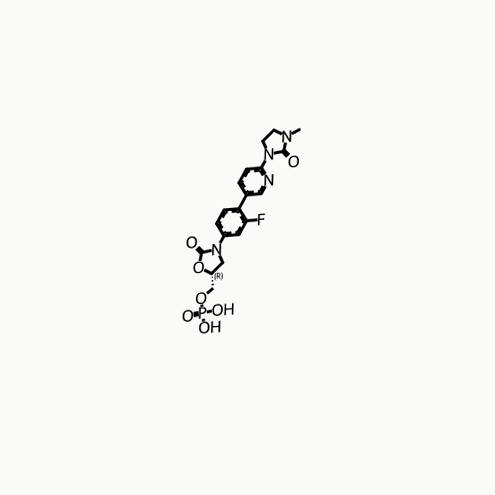 CN1CCN(c2ccc(-c3ccc(N4C[C@H](COP(=O)(O)O)OC4=O)cc3F)cn2)C1=O